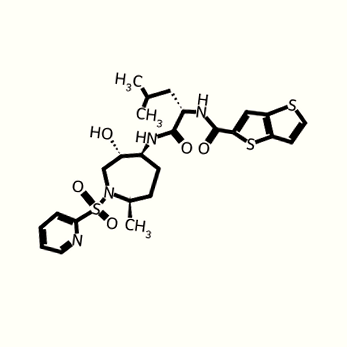 CC(C)C[C@H](NC(=O)c1cc2sccc2s1)C(=O)N[C@H]1CC[C@@H](C)N(S(=O)(=O)c2ccccn2)C[C@@H]1O